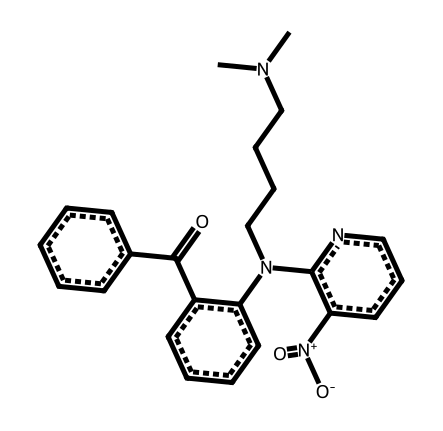 CN(C)CCCCN(c1ccccc1C(=O)c1ccccc1)c1ncccc1[N+](=O)[O-]